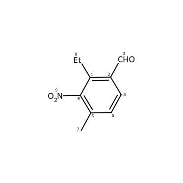 CCc1c(C=O)ccc(C)c1[N+](=O)[O-]